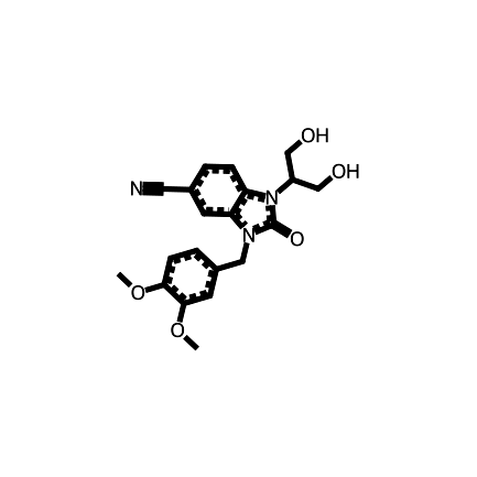 COc1ccc(Cn2c(=O)n(C(CO)CO)c3ccc(C#N)cc32)cc1OC